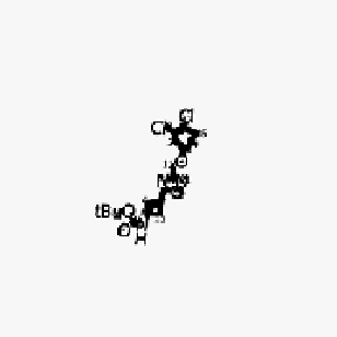 CC(C)(C)OC(=O)NC12CC(c3nc(COc4ccc(Cl)c(Cl)c4)no3)(C1)C2